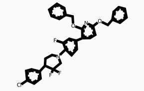 Fc1cc(-c2ccc(OCc3ccccc3)nc2OCc2ccccc2)ccc1N1CCC(c2ccc(Cl)cc2)C(F)(F)C1